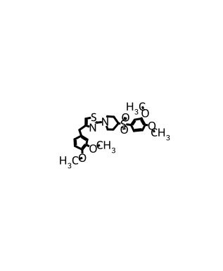 COc1ccc(Cc2csc(N3CCC(S(=O)(=O)c4ccc(OC)c(OC)c4)CC3)n2)cc1OC